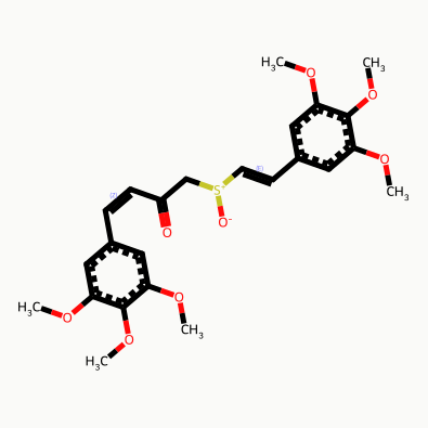 COc1cc(/C=C\C(=O)C[S+]([O-])/C=C/c2cc(OC)c(OC)c(OC)c2)cc(OC)c1OC